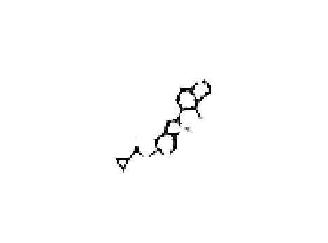 Cc1c(-c2cc3cc(NC(=O)C4CC4)ncc3n2C)ccc2[nH]ccc12